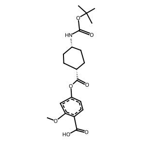 COc1cc(OC(=O)[C@H]2CC[C@@H](NC(=O)OC(C)(C)C)CC2)ccc1C(=O)O